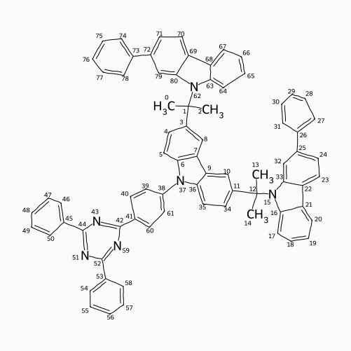 CC(C)(c1ccc2c(c1)c1cc(C(C)(C)n3c4ccccc4c4ccc(-c5ccccc5)cc43)ccc1n2-c1ccc(-c2nc(-c3ccccc3)nc(-c3ccccc3)n2)cc1)n1c2ccccc2c2ccc(-c3ccccc3)cc21